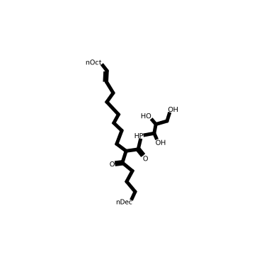 CCCCCCCCC=CCCCCCCC(C(=O)CCCCCCCCCCCCC)C(=O)PC(O)C(O)CO